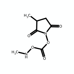 CNOC(=O)ON1C(=O)CC(C)C1=O